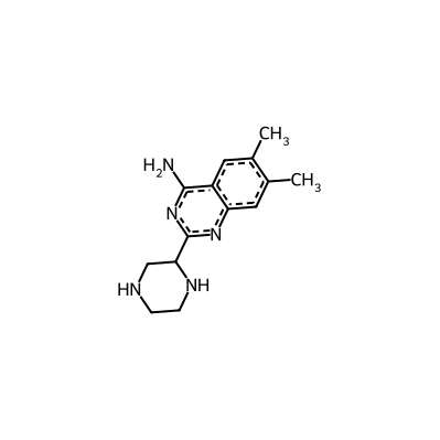 Cc1cc2nc(C3CNCCN3)nc(N)c2cc1C